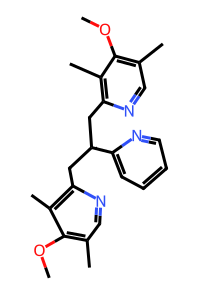 COc1c(C)cnc(C[C](Cc2ncc(C)c(OC)c2C)c2ccccn2)c1C